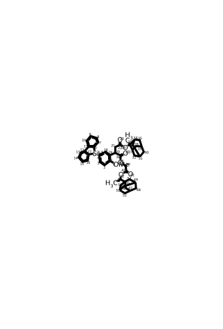 COc1ccc([SiH]2c3ccccc3-c3ccccc32)cc1C(CC(=O)OC1(C)C2CC3CC(C2)CC1C3)C(=O)OCC(=O)OC(C)C12CC3CC(CC(C3)C1)C2